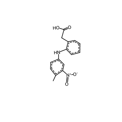 Cc1ccc(Nc2ccccc2CC(=O)O)cc1[N+](=O)[O-]